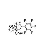 CO[Si](C)(CC(C)c1c(F)c(F)c(F)c(F)c1F)OC